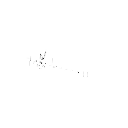 CCCCCCCCCCCCCCN1CCCNC1C(C)(C)N1CCOCC1